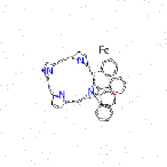 C1=Cc2cc3c(-c4ccccc4)c(-c4ccccc4)c(c(-c4ccccc4)c4nc(cc5ccc(cc1n2)[nH]5)C=C4)n3-c1ccccc1.[Fe]